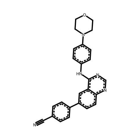 N#Cc1ccc(-c2ccc3ncnc(Nc4ccc(N5CCOCC5)cc4)c3c2)cc1